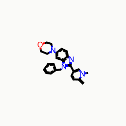 C=C1C=CC(c2nc3ccc(N4CCOCC4)cc3n2Cc2ccccc2)=CN1C